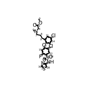 COC(=O)CN(C)CCCc1cc(Cl)ccc1Oc1cc(F)c(S(=O)(=O)Nc2cscn2)cc1Cl